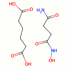 NC(=O)CCC(=O)NO.O=C(O)CCCCC(=O)O